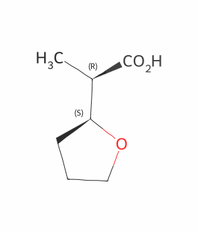 C[C@@H](C(=O)O)[C@@H]1CCCO1